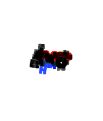 CC[C@@H](Nc1c(Nc2cccc(S(C)(=O)=O)c2O)c(=O)c1=O)c1ccc(C)o1